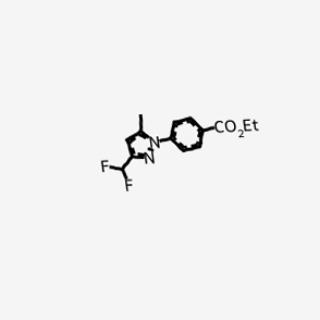 CCOC(=O)c1ccc(-n2nc(C(F)F)cc2C)cc1